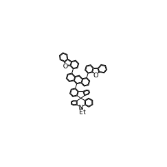 CCN1c2ccccc2C2(c3ccccc3-c3c(-c4c5cccc(-c6cccc7c6oc6ccccc67)c5cc5c(-c6cccc7c6oc6ccccc67)cccc45)cccc32)c2ccccc21